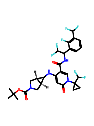 CC(C)(C)OC(=O)N1C[C@@H]2C(Nc3cc(=O)n(C4(C(F)F)CC4)cc3C(=O)NC(c3cccc(C(F)F)c3F)C(F)F)[C@@H]2C1